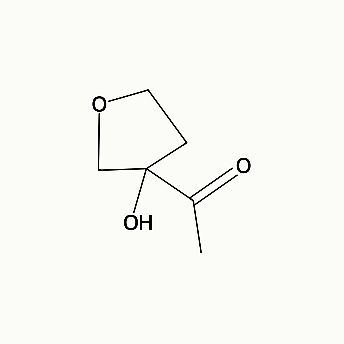 CC(=O)C1(O)CCOC1